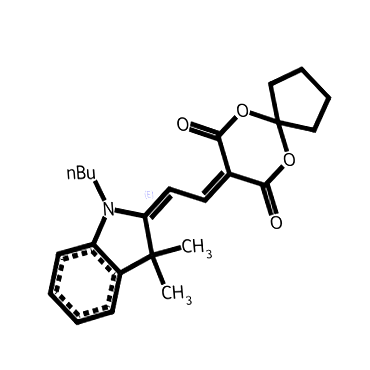 CCCCN1/C(=C/C=C2C(=O)OC3(CCCC3)OC2=O)C(C)(C)c2ccccc21